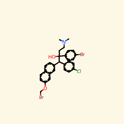 CN(C)CCC(O)(c1ccc(Br)cc1)C(c1ccc(Cl)cc1)c1ccc2ccc(OCBr)cc2c1